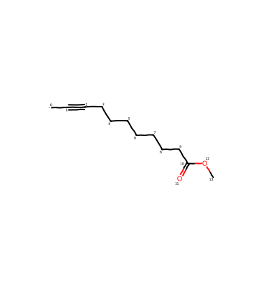 [CH2]C#CCCCCCCCC(=O)OC